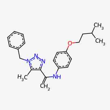 C=C(Nc1ccc(OCCC(C)C)cc1)c1nnn(Cc2ccccc2)c1C